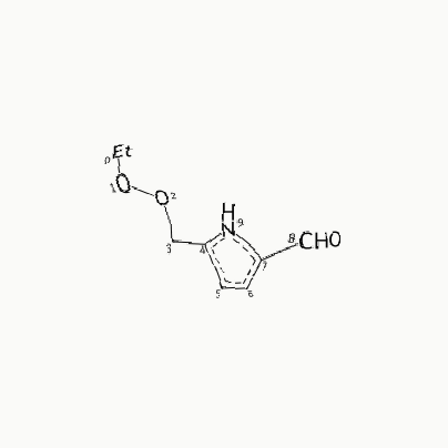 CCOOCc1ccc(C=O)[nH]1